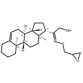 C[C@]12CC[C@H]3[C@@H](CC=C4CCCC[C@@]43C)[C@@H]1CC[C@@H]2C(CO)=NOCC1CO1